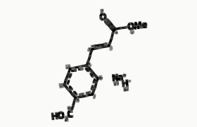 COC(=O)/C=C/c1ccc(C(=O)O)cc1.[H-].[Na+]